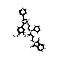 COc1ccc(-c2nc(-c3ccncc3)nn2CCN(C(=O)CCN2C(=O)c3ccccc3C2=O)C2CCCC2)cc1Cl